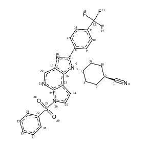 N#C[C@H]1CC[C@H](n2c(-c3ccc(C(F)(F)F)cc3)nc3cnc4c(ccn4S(=O)(=O)c4ccccc4)c32)CC1